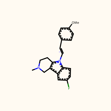 COc1ccc(/C=C/n2c3c(c4cc(F)ccc42)CN(C)CC3)cc1